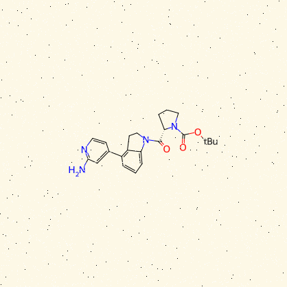 CC(C)(C)OC(=O)N1CCC[C@H]1C(=O)N1CCc2c(-c3ccnc(N)c3)cccc21